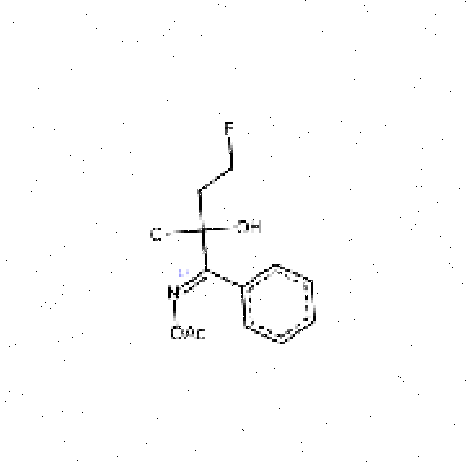 CC(=O)O/N=C(\c1ccccc1)C(O)(Cl)CCF